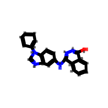 Oc1nnc(Nc2ccc3c(c2)ncn3-c2ccccc2)c2ccccc12